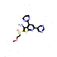 COCC[S@+]([O-])c1sc2nc(-c3cncnc3)cc(-c3ncccn3)c2c1N